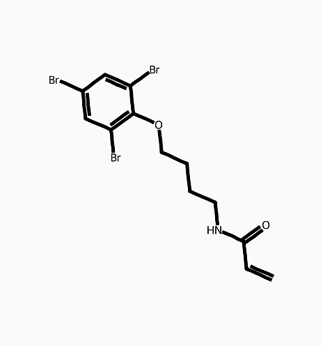 C=CC(=O)NCCCCOc1c(Br)cc(Br)cc1Br